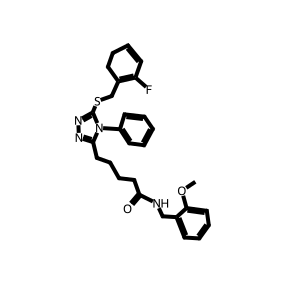 COc1ccccc1CNC(=O)CCCCc1nnc(SCC2=C(F)C=CCC2)n1-c1ccccc1